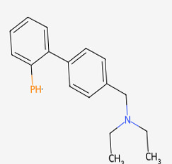 CCN(CC)Cc1ccc(-c2ccccc2[PH])cc1